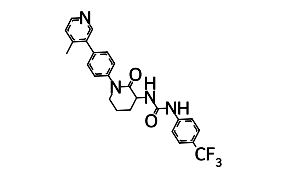 Cc1ccncc1-c1ccc(N2CCCC(NC(=O)Nc3ccc(C(F)(F)F)cc3)C2=O)cc1